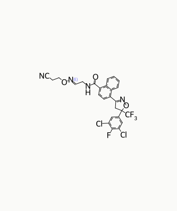 N#CCCO/N=C/CNC(=O)c1ccc(C2=NOC(c3cc(Cl)c(F)c(Cl)c3)(C(F)(F)F)C2)c2ccccc12